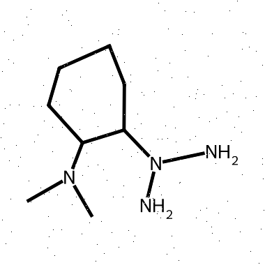 CN(C)C1CCCCC1N(N)N